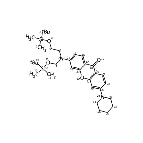 CC(C)(C)[Si](C)(C)OCCN(CO[Si](C)(C)C(C)(C)C)c1ccc2c(=O)c3ccc(N4CCCCC4)cc3oc2c1